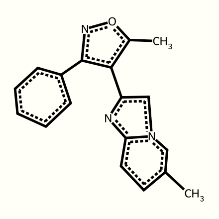 Cc1ccc2nc(-c3c(-c4ccccc4)noc3C)cn2c1